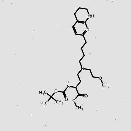 COCCN(CCCCc1ccc2c(n1)NCCC2)CCC(NC(=O)OC(C)(C)C)C(=O)OC